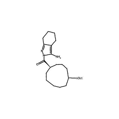 CCCCCCCCC1CCCCC[C@@H](C(=O)n2nc3c(c2N)CCCC3)CCC1